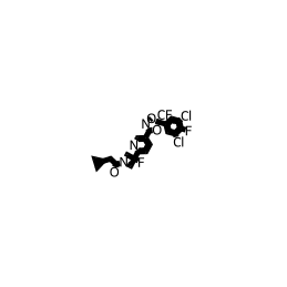 O=C(CC1CC1)N1CC(F)(c2ccc(C3=NOC(c4cc(Cl)c(F)c(Cl)c4)(C(F)(F)F)O3)cn2)C1